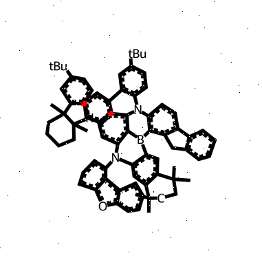 CC(C)(C)c1ccc(N2c3cc(N4c5ccc(C(C)(C)C)cc5C5(C)CCCCC45C)cc4c3B(c3cc5c(cc3N4c3cccc4oc6ccccc6c34)C(C)(C)CCC5(C)C)c3c2ccc2c3Cc3ccccc3-2)c(-c2ccccc2)c1